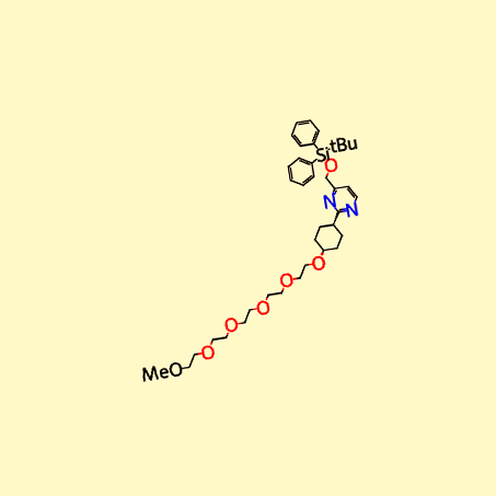 COCCOCCOCCOCCOCCO[C@H]1CC[C@@H](c2nccc(CO[Si](c3ccccc3)(c3ccccc3)C(C)(C)C)n2)CC1